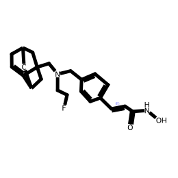 O=C(/C=C/c1ccc(CN(CCF)CC23CC4CC=C2C(C4)C3)cc1)NO